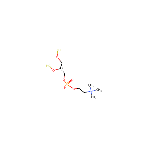 C[N+](C)(C)CCOP(=O)([O-])OC[C@@H](COS)OS